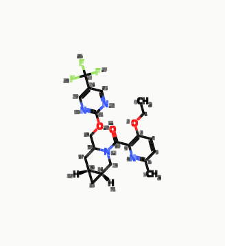 CCOc1ccc(C)nc1C(=O)N1C[C@@H]2C[C@@H]2CC1COc1ncc(C(F)(F)F)cn1